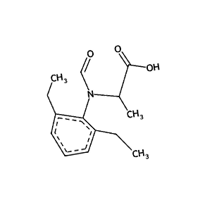 CCc1cccc(CC)c1N(C=O)C(C)C(=O)O